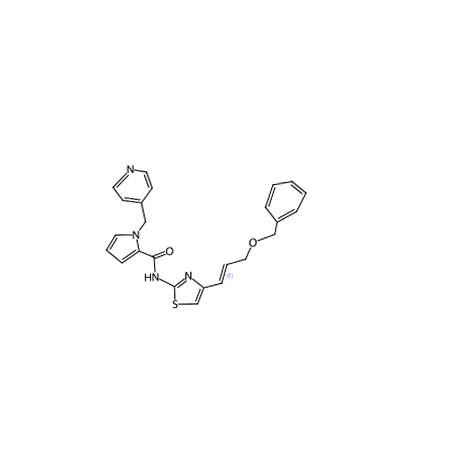 O=C(Nc1nc(/C=C/COCc2ccccc2)cs1)c1cccn1Cc1ccncc1